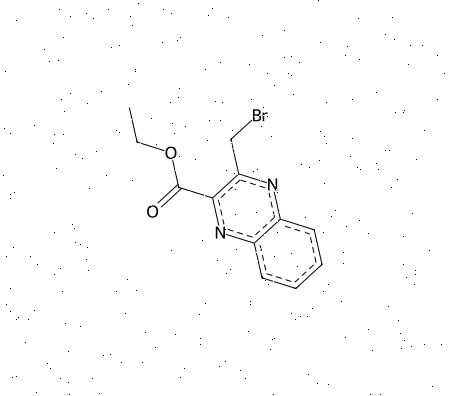 CCOC(=O)c1nc2ccccc2nc1CBr